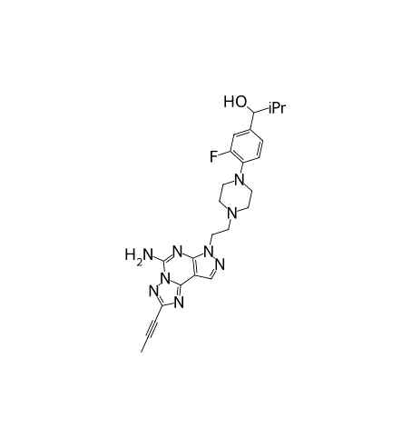 CC#Cc1nc2c3cnn(CCN4CCN(c5ccc(C(O)C(C)C)cc5F)CC4)c3nc(N)n2n1